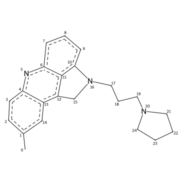 Cc1ccc2nc3cccc4c3c(c2c1)CN4CCCN1CCCC1